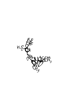 Cc1cc(C(=O)NCc2cnc(OCC(F)(F)C(F)F)c(C)c2)cc(NC(=O)C(C)(C)O)n1